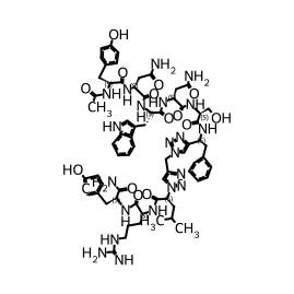 CC(=O)N[C@@H](Cc1ccc(O)cc1)C(=O)N[C@@H](CC(N)=O)C(=O)N[C@@H](Cc1c[nH]c2ccccc12)C(=O)N[C@@H](CC(N)=O)C(=O)N[C@@H](CO)C(=O)N[C@@H](Cc1ccccc1)c1cn(Cc2cn([C@@H](CC(C)C)C(=O)N[C@@H](CCCNC(=N)N)C(=O)N[C@@H](Cc3ccc(O)cc3)C(N)=O)nn2)nn1